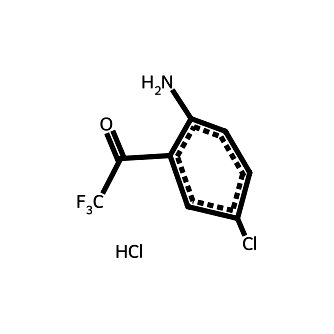 Cl.Nc1ccc(Cl)cc1C(=O)C(F)(F)F